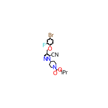 CC(C)OC(=O)N1CCC(n2ncc(COc3ccc(Br)cc3F)c2C#N)CC1